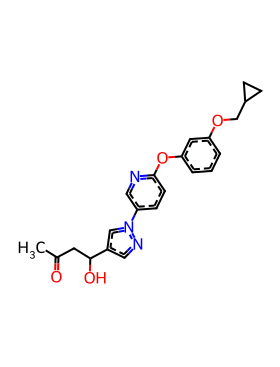 CC(=O)CC(O)c1cnn(-c2ccc(Oc3cccc(OCC4CC4)c3)nc2)c1